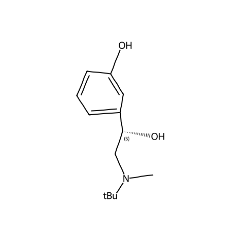 CN(C[C@@H](O)c1cccc(O)c1)C(C)(C)C